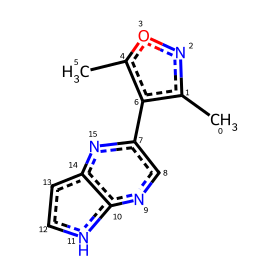 Cc1noc(C)c1-c1cnc2[nH]ccc2n1